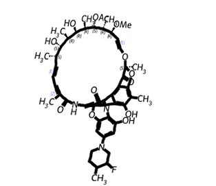 CO[C@H]1/C=C/O[C@@]2(C)Oc3c(C)c(O)c4c(=O)c(c5oc6cc(N7CCC(C)C(F)C7)cc(O)c6nc-5c4c3C2=O)NC(=O)/C(C)=C\C=C\[C@H](C)[C@H](O)[C@@H](C)[C@@H](O)[C@@H](C)[C@H](OC(C)=O)[C@@H]1C